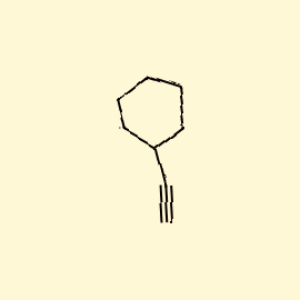 C#CC1[CH]CCCC1